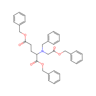 O=C(CCC(C(=O)OCc1ccccc1)N(CC(=O)OCc1ccccc1)Cc1ccccc1)OCc1ccccc1